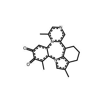 Cc1cn2c3c(C)c(=O)c(=O)cc-3n3c(C)cncc3c3c2c1CCC3